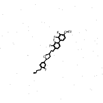 C=CCCc1ccc(C2CCC(CCc3ccc(-c4ccc(OCC)c(F)c4F)c(F)c3F)CO2)cc1F